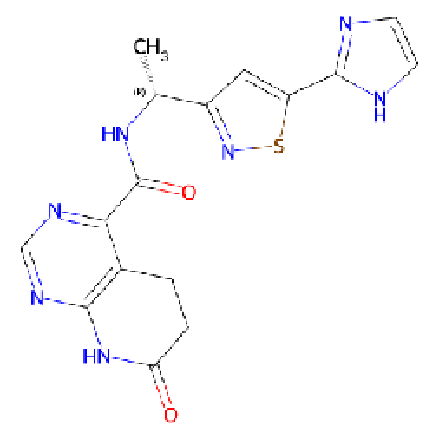 C[C@@H](NC(=O)c1ncnc2c1CCC(=O)N2)c1cc(-c2ncc[nH]2)sn1